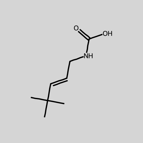 CC(C)(C)C=CCNC(=O)O